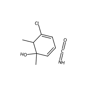 CC1C(Cl)=CC=CC1(C)O.N=C=O